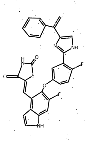 C=C(c1ccccc1)c1c[nH]c(-c2cc(Oc3c(F)cc4[nH]ccc4c3C=C3SC(=O)NC3=O)ccc2F)n1